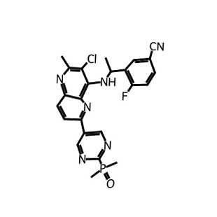 Cc1nc2ccc(-c3cnc(P(C)(C)=O)nc3)nc2c(NC(C)c2cc(C#N)ccc2F)c1Cl